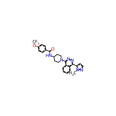 Cn1nccc1-c1nnc(N2CCC(NC(=O)c3ccc(OC(F)(F)F)cc3)CC2)c2ccccc12